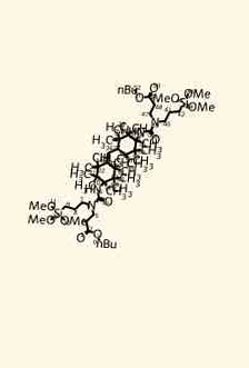 CCCCOC(=O)CCN(CCC[Si](OC)(OC)OC)C(=O)NC1(C)C(C)(C)C(C)(C)C(CC2C(C)(C)C(C)(C)C(C)(NC(=O)N(CCC[Si](OC)(OC)OC)CCC(=O)OCCCC)C(C)(C)C2(C)C)C(C)(C)C1(C)C